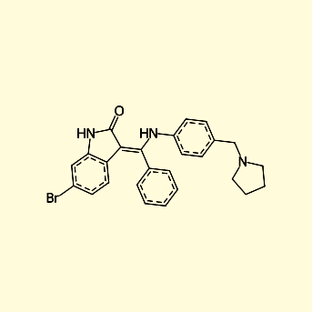 O=C1Nc2cc(Br)ccc2/C1=C(/Nc1ccc(CN2CCCC2)cc1)c1ccccc1